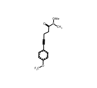 CON(C)C(=O)CCC#Cc1ccc(OC(F)(F)F)cc1